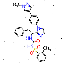 Cc1ccccc1S(=O)(=O)NC(=O)N[C@@H](Cc1ccccc1)c1nccn1-c1ccc(-c2cnn(C)c2)cc1